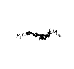 COc1ccc(-c2ccc(C3CCC(CC/C=C/C4CCC(C)CC4)CC3)c(F)c2)c(F)c1F